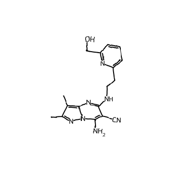 Cc1nn2c(N)c(C#N)c(NCCc3cccc(CO)n3)nc2c1C